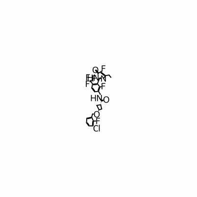 CCc1nc(-c2c(C(F)(F)F)ccc(CNC(=O)[C@H]3C[C@H](OCc4cccc(Cl)c4F)C3)c2F)[nH]c(=O)c1F